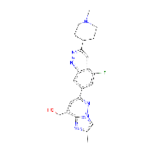 Cc1cn2nc(-c3cc(F)c4cc(C5CCN(C)CC5)nnc4c3)cc(CO)c2n1